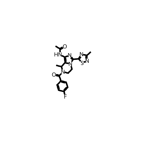 CC(=O)Nc1nc(-c2nc(C)ns2)n2c1C(C)N(C(=O)c1ccc(F)cc1)CC2